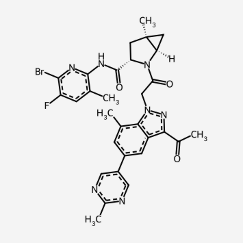 CC(=O)c1nn(CC(=O)N2[C@H](C(=O)Nc3nc(Br)c(F)cc3C)C[C@@]3(C)C[C@@H]23)c2c(C)cc(-c3cnc(C)nc3)cc12